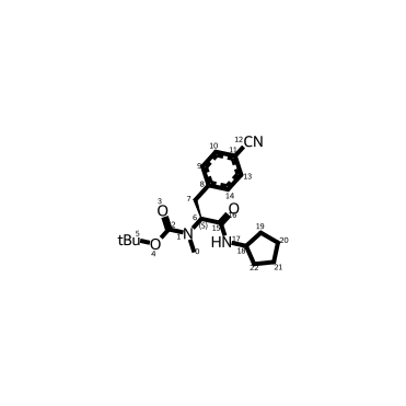 CN(C(=O)OC(C)(C)C)[C@@H](Cc1ccc(C#N)cc1)C(=O)NC1CCCC1